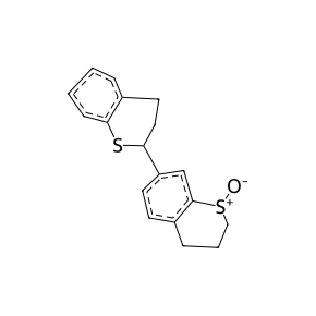 [O-][S+]1CCCc2ccc(C3CCc4ccccc4S3)cc21